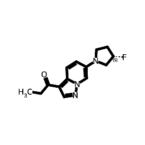 CCC(=O)c1cnn2cc(N3CC[C@H](F)C3)ccc12